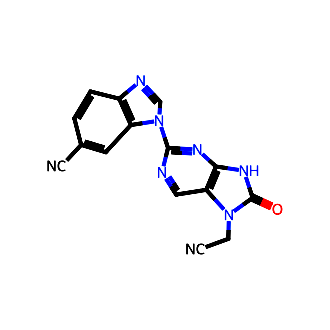 N#CCn1c(=O)[nH]c2nc(-n3cnc4ccc(C#N)cc43)ncc21